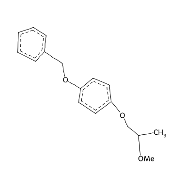 COC(C)COc1ccc(OCc2ccccc2)cc1